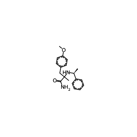 COc1ccc(CC(C)(N[C@@H](C)c2ccccc2)C(N)=O)cc1